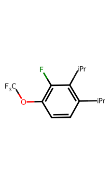 CC(C)c1ccc(OC(F)(F)F)c(F)c1C(C)C